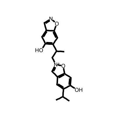 CC(C)c1cc2c[n+](CC(C)c3cc4oncc4cc3O)oc2cc1O